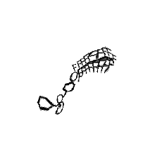 O=C(OCc1ccc(OC(F)=C(F)C(F)(F)C(F)(F)C(F)(F)C(F)(F)C(F)(F)C(F)(F)C(F)(F)F)cc1)c1ccccc1